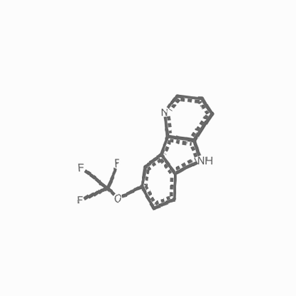 FC(F)(F)Oc1ccc2[nH]c3cccnc3c2c1